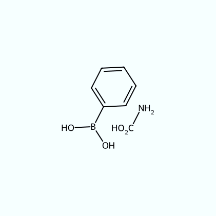 NC(=O)O.OB(O)c1ccccc1